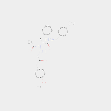 CCOc1ccc(CC(=O)CNN(C(=O)CC)[C@@H](Cc2ccccc2)C(=O)NCc2ccc(C#N)cc2)cc1